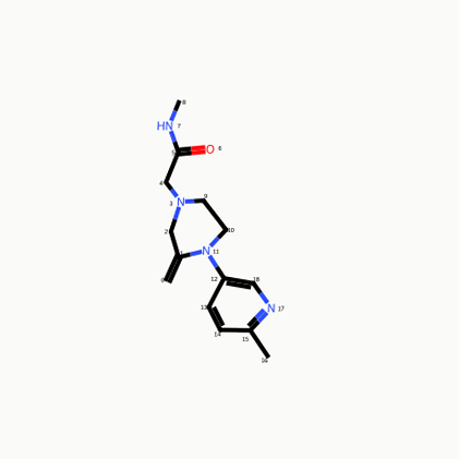 C=C1CN(CC(=O)NC)CCN1c1ccc(C)nc1